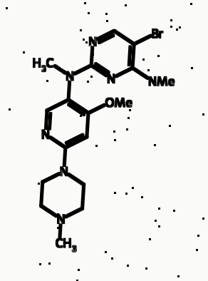 CNc1nc(N(C)c2cnc(N3CCN(C)CC3)cc2OC)ncc1Br